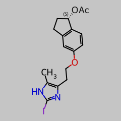 CC(=O)O[C@H]1CCc2cc(OCCc3nc(I)[nH]c3C)ccc21